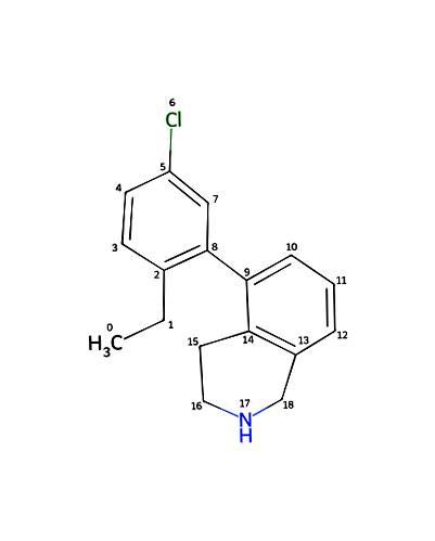 CCc1ccc(Cl)cc1-c1cccc2c1CCNC2